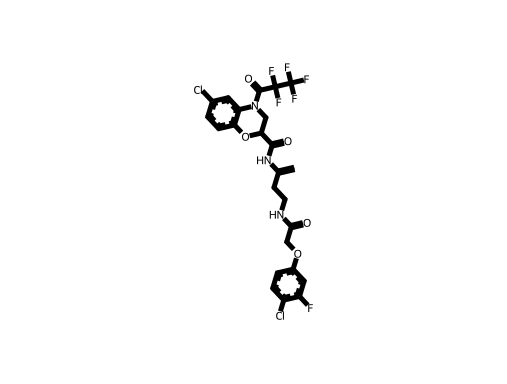 C=C(CCNC(=O)COc1ccc(Cl)c(F)c1)NC(=O)C1CN(C(=O)C(F)(F)C(F)(F)F)c2cc(Cl)ccc2O1